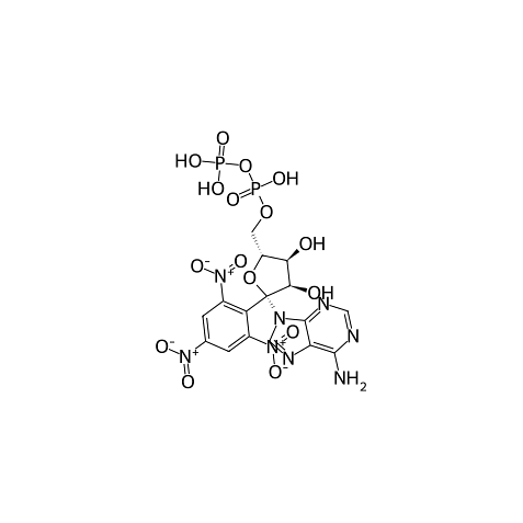 Nc1ncnc2c1ncn2[C@]1(c2c([N+](=O)[O-])cc([N+](=O)[O-])cc2[N+](=O)[O-])O[C@H](COP(=O)(O)OP(=O)(O)O)[C@@H](O)[C@H]1O